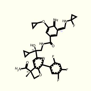 C[C@]1(C(N)=O)COc2c1cc([C@@](O)(CNC(=O)C1=C/C(=C/NC3(F)CC3)C(=N)C(OC3CC3)=C1)C1CC1)nc2-c1cc(F)c(F)cc1F